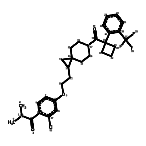 CN(C)C(=O)c1ccc(OCCC2CC23CCN(C(=O)C2(c4ccccc4C(F)(F)F)CCC2)CC3)cc1Cl